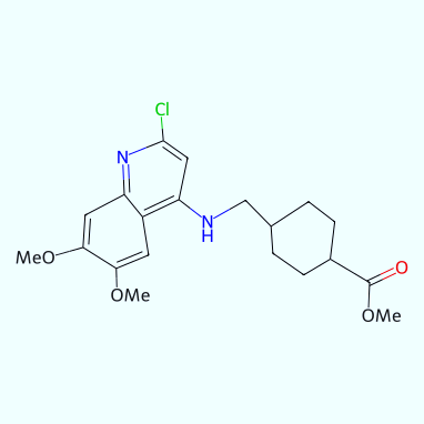 COC(=O)C1CCC(CNc2cc(Cl)nc3cc(OC)c(OC)cc23)CC1